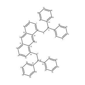 c1ccc(P(Cc2cccc3cc4cccc(CP(c5ccccc5)c5ccccc5)c4nc23)c2ccccc2)cc1